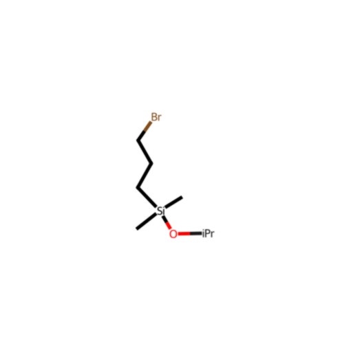 CC(C)O[Si](C)(C)CCCBr